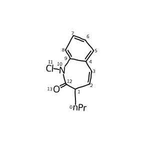 CCCC1C=Cc2ccccc2N(Cl)C1=O